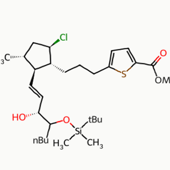 CCCCC(O[Si](C)(C)C(C)(C)C)[C@H](O)/C=C/[C@@H]1[C@@H](CCCc2ccc(C(=O)OC)s2)[C@H](Cl)C[C@H]1C